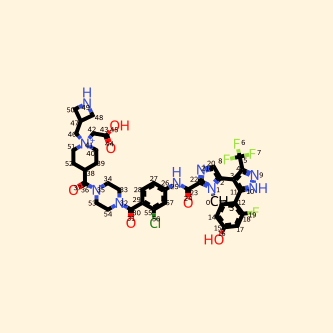 Cn1c(-c2c(C(F)(F)F)n[nH]c2-c2ccc(O)cc2F)cnc1C(=O)Nc1ccc(C(=O)N2CCN(C(=O)C3CC[N+](CC(=O)O)(CC4CNC4)CC3)CC2)c(Cl)c1